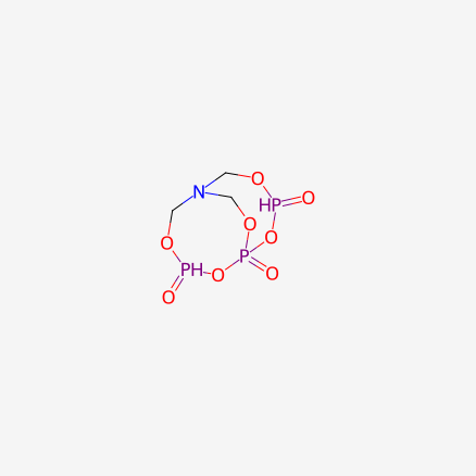 O=[PH]1OCN2CO[PH](=O)OP(=O)(OC2)O1